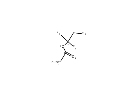 CCCCCC(=O)OC(F)(F)CF